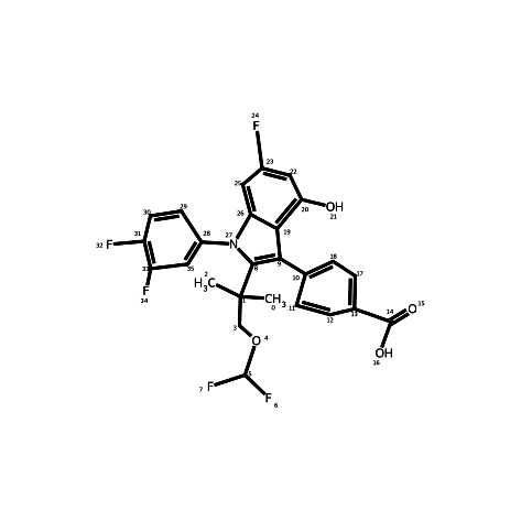 CC(C)(COC(F)F)c1c(-c2ccc(C(=O)O)cc2)c2c(O)cc(F)cc2n1-c1ccc(F)c(F)c1